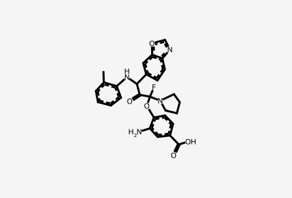 Cc1ccccc1NC(C(=O)C(F)(Oc1ccc(C(=O)O)cc1N)N1CCCC1)c1ccc2ncoc2c1